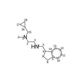 CN(CCNCC1CCc2ccccc21)CC1CC1